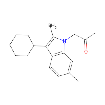 Bc1c(C2CCCCC2)c2ccc(C)cc2n1CC(C)=O